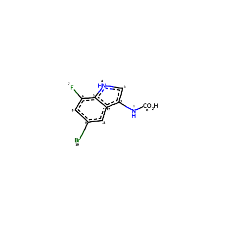 O=C(O)Nc1c[nH]c2c(F)cc(Br)cc12